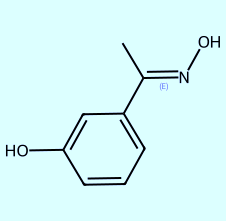 C/C(=N\O)c1cccc(O)c1